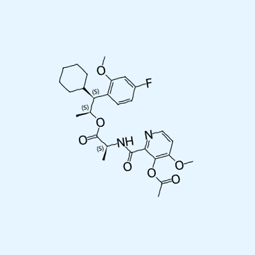 COc1cc(F)ccc1[C@H](C1CCCCC1)[C@H](C)OC(=O)[C@H](C)NC(=O)c1nccc(OC)c1OC(C)=O